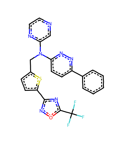 FC(F)(F)c1nc(-c2ccc(CN(c3cnccn3)c3ccc(-c4ccccc4)nn3)s2)no1